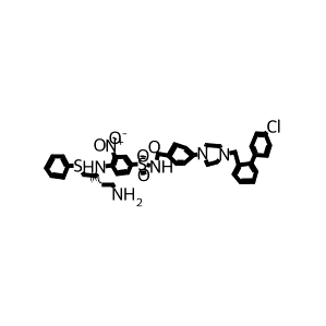 NCC[C@H](CSc1ccccc1)Nc1ccc(S(=O)(=O)NC(=O)c2ccc(N3CCN(Cc4ccccc4-c4ccc(Cl)cc4)CC3)cc2)cc1[N+](=O)[O-]